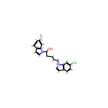 OC(CCCCn1ccc2ccc(Cl)cc21)n1ccc2ccc(Cl)cc21